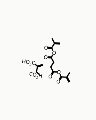 C=C(C)C(=O)OC(=O)CCC(=O)OC(=O)C(=C)C.C=C(CC(=O)O)C(=O)O